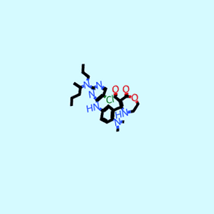 CCCC(C)N(CCC)c1ncc(Cl)c(Nc2ccc(N(C)C)c(C3=C(C=O)C(=O)OCCN3)c2)n1